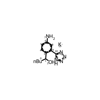 CCCCC(O)c1ccc(N)cc1-c1nnn[nH]1.[K]